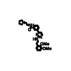 COc1cccc(CCNc2nccc(-c3cccc(C(=O)NCCN4CCCC4)c3)n2)c1OC